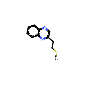 CCSCCc1cnc2ccccc2n1